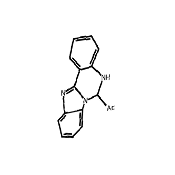 CC(=O)C1Nc2ccccc2-c2nc3ccccc3n21